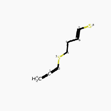 C=C=CSCCC=C[S]